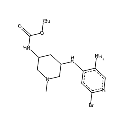 CN1CC(NC(=O)OC(C)(C)C)CC(Nc2cc(Br)ncc2N)C1